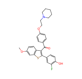 COc1ccc2c(C(=O)c3ccc(OCCN4CCCCC4)cc3)c(-c3ccc(O)c(F)c3)sc2c1